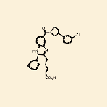 O=C(O)CCCCC1=Nc2cc(C(=O)N3CCC(c4cccc(Cl)c4)C3)ccc2NC1c1ccccc1